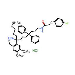 COc1cc2c(cc1OC)C(CCCCNC(C)=O)(CCCC(CCCNC(=O)CCc1ccc(F)cc1)(c1ccccc1)c1ccccc1)NCC2.Cl